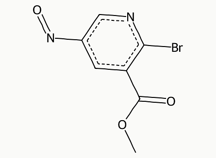 COC(=O)c1cc(N=O)cnc1Br